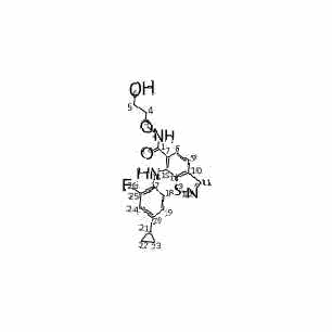 O=C(NOCCO)c1ccc2cnsc2c1Nc1ccc(C2CC2)cc1F